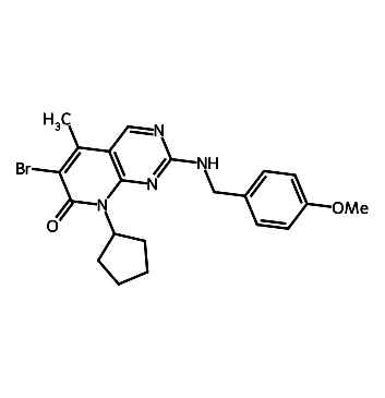 COc1ccc(CNc2ncc3c(C)c(Br)c(=O)n(C4CCCC4)c3n2)cc1